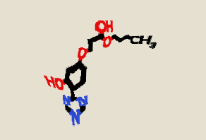 CCCCOC(O)CCOc1ccc(-c2ncncn2)c(O)c1